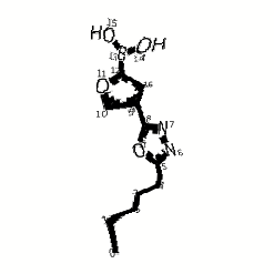 CCCCCc1nnc(-c2coc(B(O)O)c2)o1